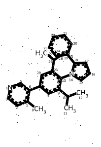 Cc1ccncc1-c1cc(C(C)C)c(-n2cccc2-c2ccccc2)c(C(C)C)c1